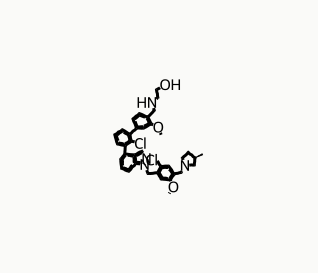 COc1cc(-c2cccc(-c3cccc4c3cnn4Cc3cc(OC)c(CN4CC[C@@H](C)C4)cc3Cl)c2Cl)ccc1CNCCO